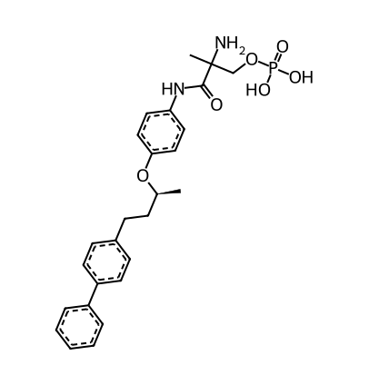 C[C@@H](CCc1ccc(-c2ccccc2)cc1)Oc1ccc(NC(=O)C(C)(N)COP(=O)(O)O)cc1